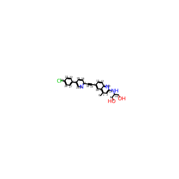 Cc1cc(NC(CO)CO)nc2ccc(C#Cc3ccc(-c4ccc(Cl)cc4)cn3)cc12